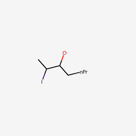 CCCCC([O])C(C)I